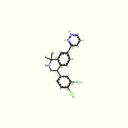 CC1(C)NCC(c2ccc(Cl)c(Cl)c2)c2ccc(-c3cccnn3)cc21